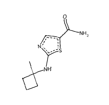 CC1(Nc2ncc(C(N)=O)s2)CCC1